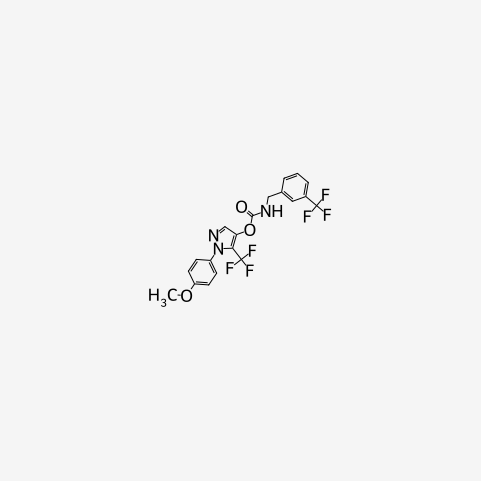 COc1ccc(-n2ncc(OC(=O)NCc3cccc(C(F)(F)F)c3)c2C(F)(F)F)cc1